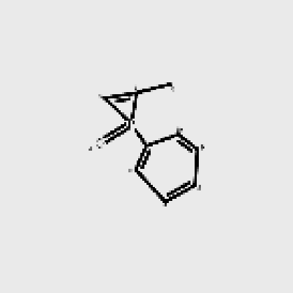 CC1=CP1(=O)c1ccccc1